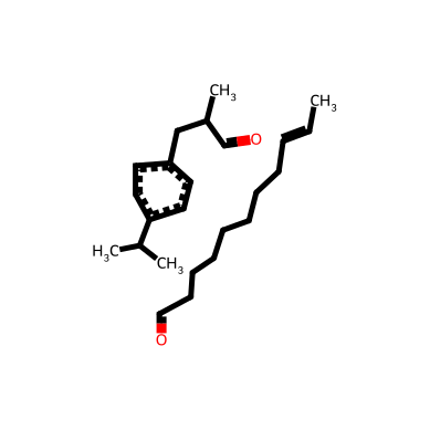 C/C=C/CCCCCCCC=O.CC(C=O)Cc1ccc(C(C)C)cc1